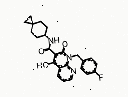 O=C(NC1CCC2(CC1)CC2)c1c(O)c2cccnc2n(Cc2ccc(F)cc2)c1=O